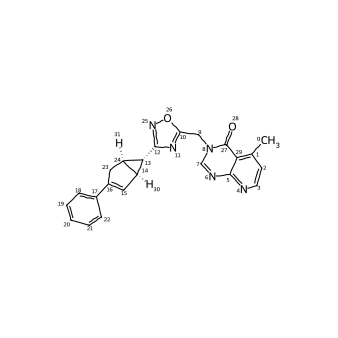 Cc1ccnc2ncn(Cc3nc([C@@H]4[C@H]5C=C(c6ccccc6)C[C@H]54)no3)c(=O)c12